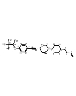 C=CCC[C@H]1CC[C@H]([C@@H]2CO[C@@H](C#Cc3ccc(OC(F)C(F)(F)F)cc3)CO2)CC1